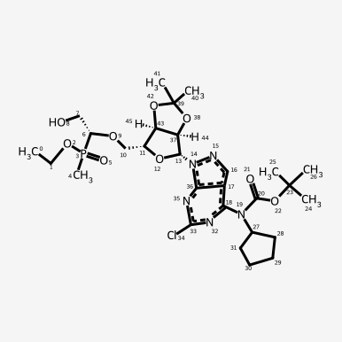 CCOP(C)(=O)[C@H](CO)OC[C@H]1O[C@@H](n2ncc3c(N(C(=O)OC(C)(C)C)C4CCCC4)nc(Cl)nc32)[C@@H]2OC(C)(C)O[C@@H]21